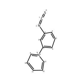 S=C=Nc1cccc(-[n+]2ccccc2)c1